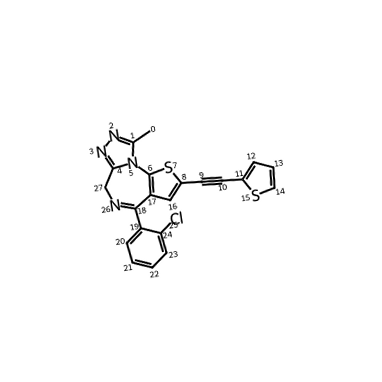 Cc1nnc2n1-c1sc(C#Cc3cccs3)cc1C(c1ccccc1Cl)=NC2